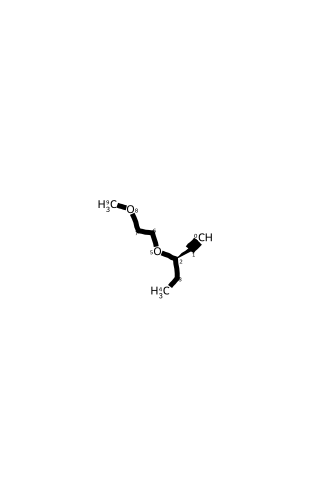 C#C[C@@H](CC)OCCOC